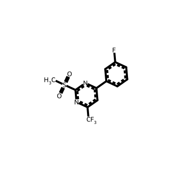 CS(=O)(=O)c1nc(-c2cccc(F)c2)cc(C(F)(F)F)n1